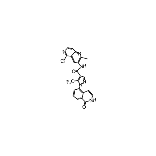 Cc1nc2ccnc(Cl)c2cc1NC(=O)c1cnn(-c2cccc3c(=O)[nH]ccc23)c1C(F)(F)F